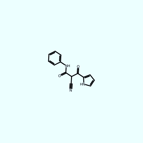 N#CC(C(=O)Nc1ccccc1)C(=O)c1ccc[nH]1